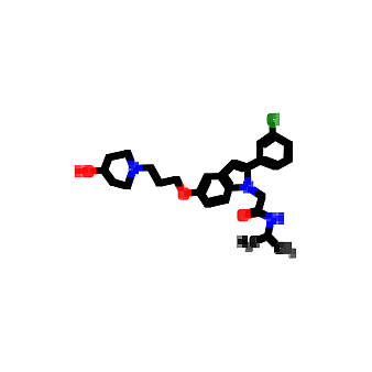 CC(C)NC(=O)Cn1c(-c2cccc(Cl)c2)cc2cc(OCCCN3CCC(O)CC3)ccc21